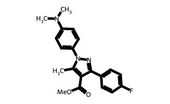 COC(=O)c1c(-c2ccc(F)cc2)nn(-c2ccc(N(C)C)cc2)c1C